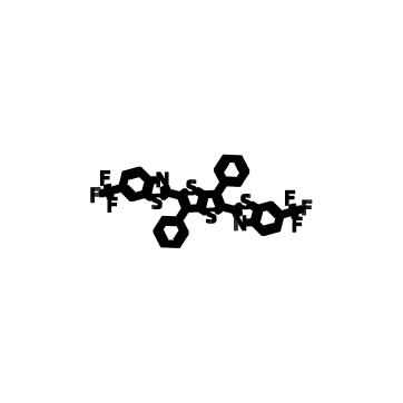 FC(F)(F)c1ccc2nc(-c3sc4c(-c5ccccc5)c(-c5nc6ccc(C(F)(F)F)cc6s5)sc4c3-c3ccccc3)sc2c1